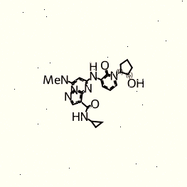 CNc1cc(Nc2cccn([C@@H]3CCC[C@@H]3O)c2=O)nc2c(C(=O)NC3CC3)cnn12